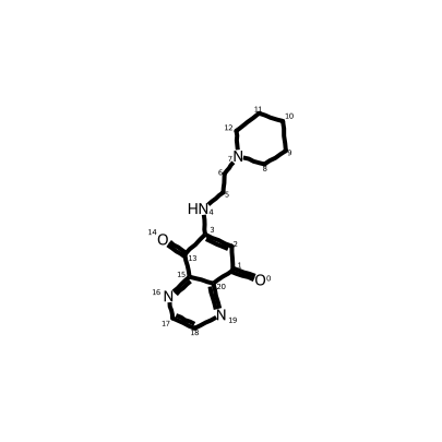 O=C1C=C(NCCN2CCCCC2)C(=O)c2nccnc21